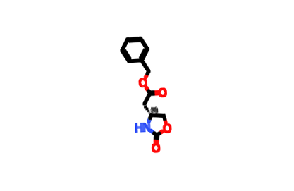 O=C(C[C@@H]1COC(=O)N1)OCc1ccccc1